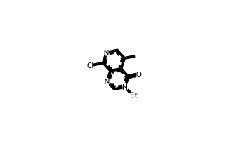 CCn1cnc2c(Cl)ncc(C)c2c1=O